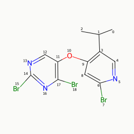 CC(C)c1cnc(Br)cc1Oc1cnc(Br)nc1Br